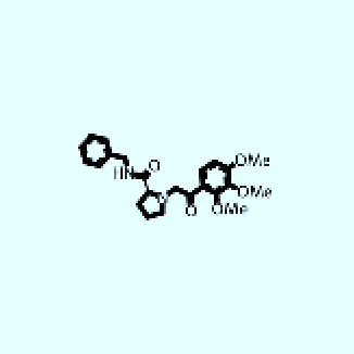 COc1ccc(C(=O)CN2CCC[C@H]2C(=O)NCc2ccccc2)c(OC)c1OC